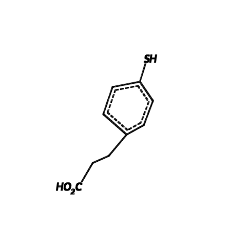 O=C(O)CCc1ccc(S)cc1